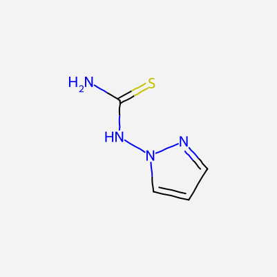 NC(=S)Nn1cccn1